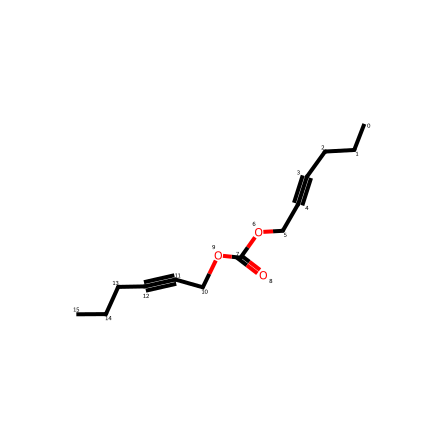 CCCC#CCOC(=O)OCC#CCCC